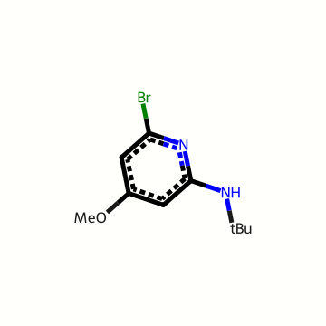 COc1cc(Br)nc(NC(C)(C)C)c1